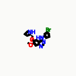 COc1cc2ncnc(Nc3cccc(Br)c3)c2cc1OC[C@@H]1CCCN1